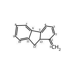 C=C1C=CC=C2c3ccccc3[C]C12